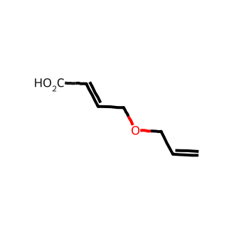 C=CCOCC=CC(=O)O